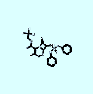 CC1=C(C(=O)OCC(Cl)(Cl)Cl)N2C(=O)C(NP(=O)(Oc3ccccc3)Oc3ccccc3)C2SC1